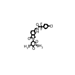 BC1CC(N2Cc3cc(CNC(=O)C(F)(F)c4ccc(Cl)cc4)ccc3C2=O)C(=O)N(B)C1=O